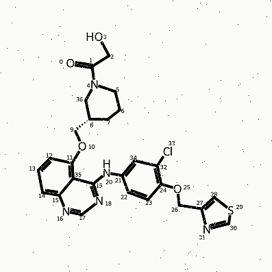 O=C(CO)N1CCC[C@H](COc2cccc3ncnc(Nc4ccc(OCc5cscn5)c(Cl)c4)c23)C1